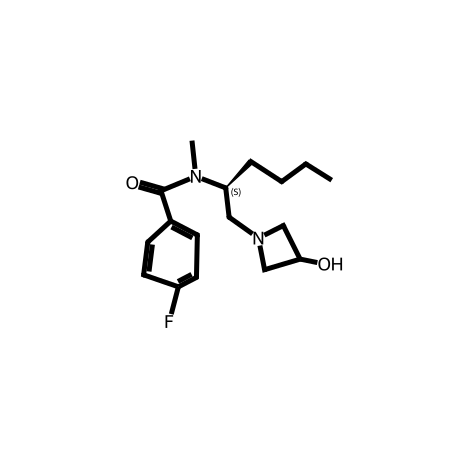 CCCC[C@@H](CN1CC(O)C1)N(C)C(=O)c1ccc(F)cc1